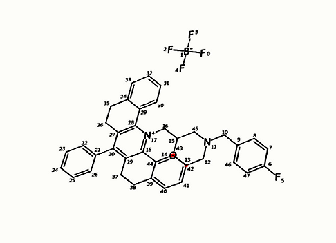 F[B-](F)(F)F.Fc1ccc(CN2CCOC(C[n+]3c4c(c(-c5ccccc5)c5c3-c3ccccc3CC5)CCc3ccccc3-4)C2)cc1